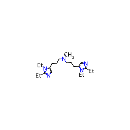 CCc1ncc(CCCN(C)CCCc2cnc(CC)n2CC)n1CC